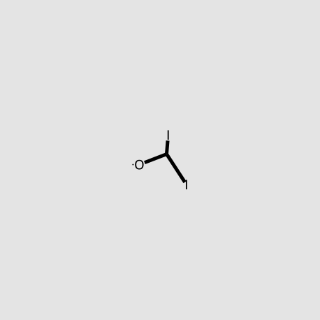 [O]C(I)I